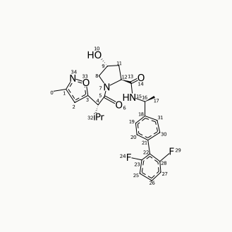 Cc1cc([C@H](C(=O)N2C[C@H](O)C[C@H]2C(=O)N[C@@H](C)c2ccc(-c3c(F)cccc3F)cc2)C(C)C)on1